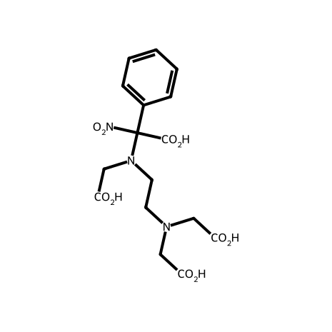 O=C(O)CN(CCN(CC(=O)O)C(C(=O)O)(c1ccccc1)[N+](=O)[O-])CC(=O)O